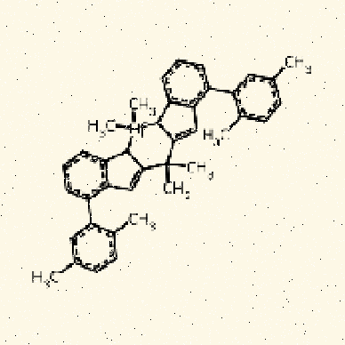 Cc1ccc(C)c(-c2cccc3c2C=C2[CH]3[Hf]([CH3])([CH3])[CH]3C(=Cc4c(-c5cc(C)ccc5C)cccc43)C2(C)C)c1